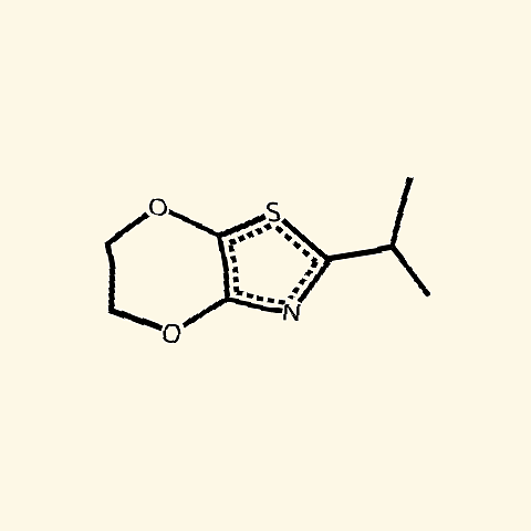 CC(C)c1nc2c(s1)OCCO2